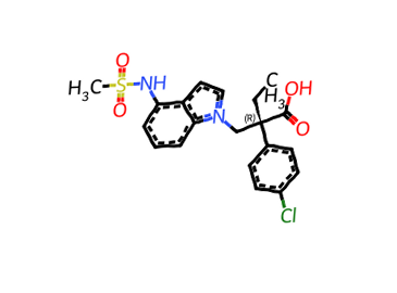 CC[C@@](Cn1ccc2c(NS(C)(=O)=O)cccc21)(C(=O)O)c1ccc(Cl)cc1